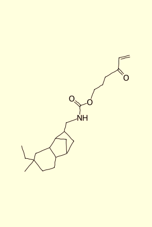 C=CC(=O)CCCOC(=O)NCC1CC2CC1C1CC(C)(CC)CCC21